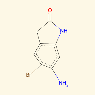 Nc1cc2c(cc1Br)CC(=O)N2